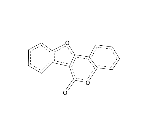 O=c1oc2ccccc2c2oc3ccccc3c12